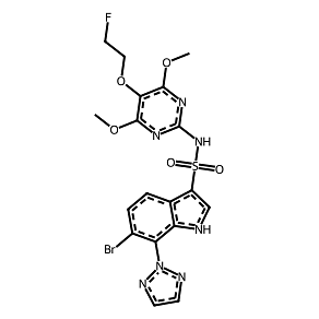 COc1nc(NS(=O)(=O)c2c[nH]c3c(-n4nccn4)c(Br)ccc23)nc(OC)c1OCCF